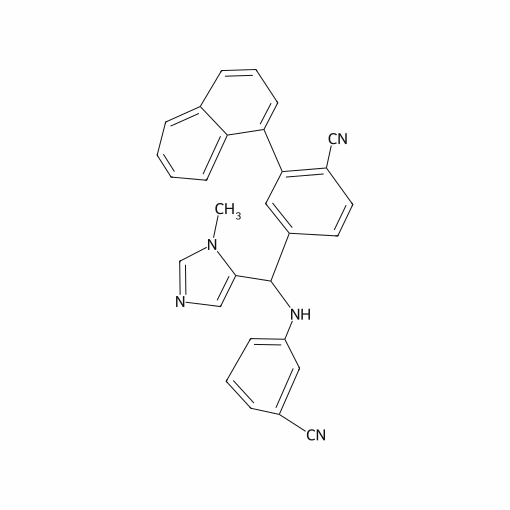 Cn1cncc1C(Nc1cccc(C#N)c1)c1ccc(C#N)c(-c2cccc3ccccc23)c1